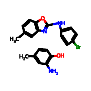 Cc1ccc(O)c(N)c1.Cc1ccc2oc(Nc3ccc(Br)cc3)nc2c1